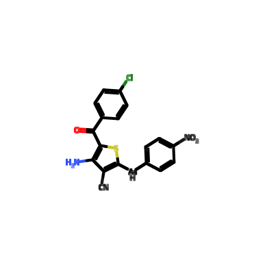 N#Cc1c([AsH]c2ccc([N+](=O)[O-])cc2)sc(C(=O)c2ccc(Cl)cc2)c1N